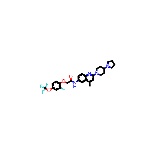 Cc1cc(N2CCC(N3CCCC3)CC2)nc2ccc(NC(=O)COc3ccc(OC(F)(F)F)cc3F)cc12